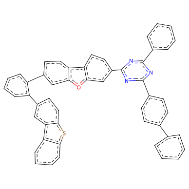 c1ccc(-c2ccc(-c3nc(-c4ccccc4)nc(-c4ccc5c(c4)oc4cc(-c6ccccc6-c6ccc7sc8ccccc8c7c6)ccc45)n3)cc2)cc1